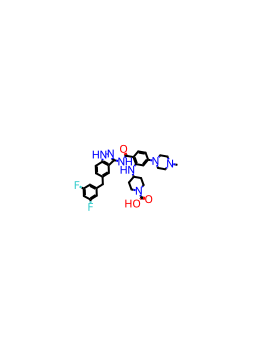 CN1CCN(c2ccc(C(=O)Nc3n[nH]c4ccc(Cc5cc(F)cc(F)c5)cc34)c(NC3CCN(C(=O)O)CC3)c2)CC1